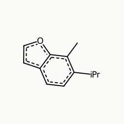 Cc1c(C(C)C)ccc2ccoc12